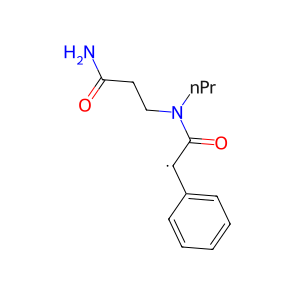 CCCN(CCC(N)=O)C(=O)[CH]c1ccccc1